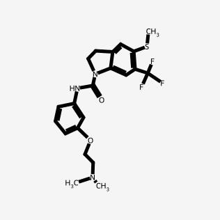 CSc1cc2c(cc1C(F)(F)F)N(C(=O)Nc1cccc(OCCN(C)C)c1)CC2